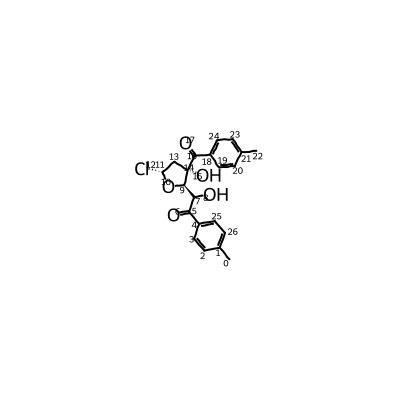 Cc1ccc(C(=O)C(O)[C@H]2O[C@H](Cl)C[C@@]2(O)C(=O)c2ccc(C)cc2)cc1